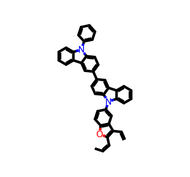 C=Cc1c(/C=C\C)oc2ccc(-n3c4ccccc4c4cc(-c5ccc6c(c5)c5ccccc5n6-c5ccccc5)ccc43)cc12